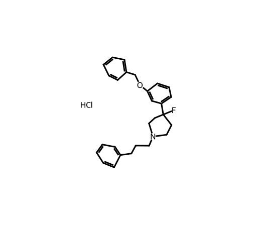 Cl.FC1(c2cccc(OCc3ccccc3)c2)CCN(CCCc2ccccc2)CC1